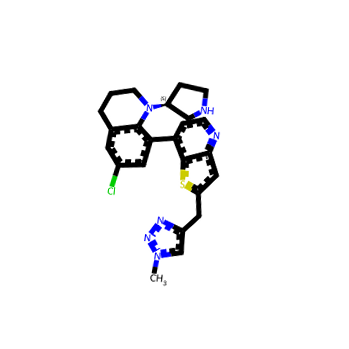 Cn1cc(Cc2cc3nccc(-c4cc(Cl)cc5c4N([C@H]4CCNC4)CCC5)c3s2)nn1